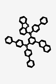 c1ccc(-c2ccc(N(c3ccc(-c4ccccc4)cc3)c3cc(-c4ccc5ccccc5c4)cc(N(c4ccc(-c5ccccc5)cc4)c4cccc5c4sc4ccccc45)c3)cc2)cc1